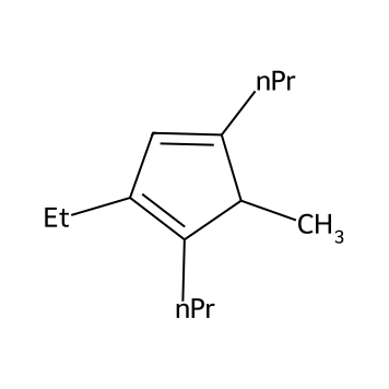 CCCC1=CC(CC)=C(CCC)C1C